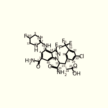 NC(=O)c1cc(NC2=NCC(F)CN2)c2c(F)nn(C(C(N)=O)[C@@H](CC(=O)O)c3cc(Cl)cc(C(F)(F)F)c3)c2c1